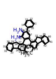 Cc1cc2c(c(-c3cc(-c4ccccc4)c(N)c(N)c3-c3c(C)c(C)cc4c3Cc3ccccc3-4)c1C)Cc1ccccc1-2